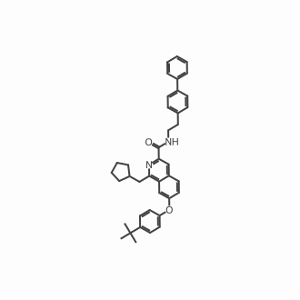 CC(C)(C)c1ccc(Oc2ccc3cc(C(=O)NCCc4ccc(-c5ccccc5)cc4)nc(CC4CCCC4)c3c2)cc1